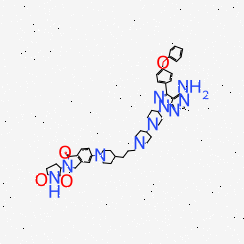 Nc1ncnc2c1c(-c1ccc(Oc3ccccc3)cc1)nn2C1CCN(C2CCN(CCCC3CCN(c4ccc5c(c4)CN(C4CCC(=O)NC4=O)C5=O)CC3)CC2)CC1